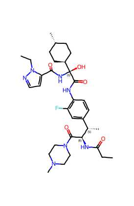 CCC(=O)N[C@@H](C(=O)N1CCN(C)CC1)[C@@H](C)c1ccc(NC(=O)[C@](O)(NC(=O)c2ccnn2CC)[C@H]2CC[C@H](C)CC2)c(F)c1